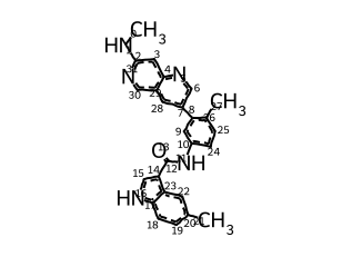 CNc1cc2ncc(-c3cc(NC(=O)c4c[nH]c5ccc(C)cc45)ccc3C)cc2cn1